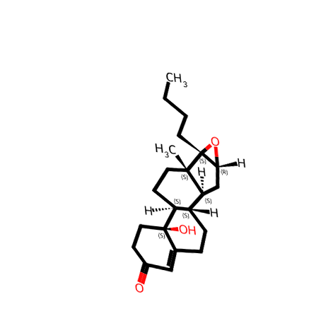 CCCC[C@@]12O[C@@H]1C[C@H]1[C@@H]3CCC4=CC(=O)CC[C@]4(O)[C@H]3CC[C@@]12C